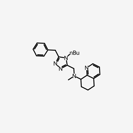 CCCCn1c(Cc2ccccc2)nnc1CN(C)C1CCCc2cccnc21